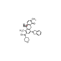 CCN(c1cc(N2Cc3ccccc3C2)c(Cc2c(C)ccn(C)c2=O)c(C(N)=O)c1C)C1CCOCC1